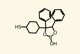 OB1OC(c2ccccc2)C(c2ccccc2)(C2CCC(S)CC2)O1